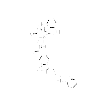 Cn1nc(CCCNc2ccccn2)c2ccc(C(=O)NCC(NS(=O)(=O)c3c(Cl)cccc3Cl)C(=O)O)cc21